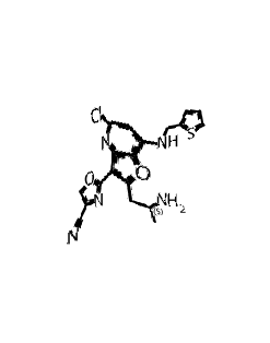 C[C@H](N)Cc1oc2c(NCc3cccs3)cc(Cl)nc2c1-c1nc(C#N)co1